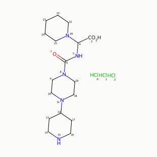 Cl.Cl.Cl.O=C(O)C(NC(=O)N1CCN(C2CCNCC2)CC1)N1CCCCC1